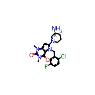 Cn1c(=O)c2c(cc(N3CCC[C@@H](N)C3)n2Cc2cc(F)ccc2Cl)n(C)c1=O